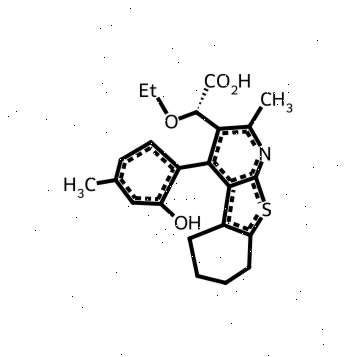 CCO[C@H](C(=O)O)c1c(C)nc2sc3c(c2c1-c1ccc(C)cc1O)CCCC3